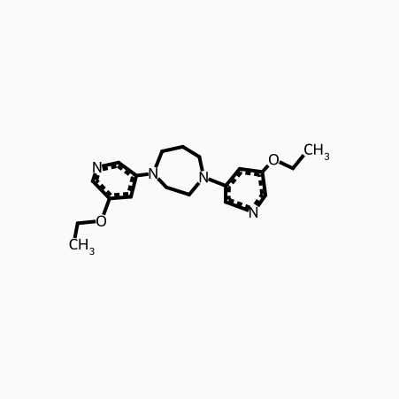 CCOc1cncc(N2CCCN(c3cncc(OCC)c3)CC2)c1